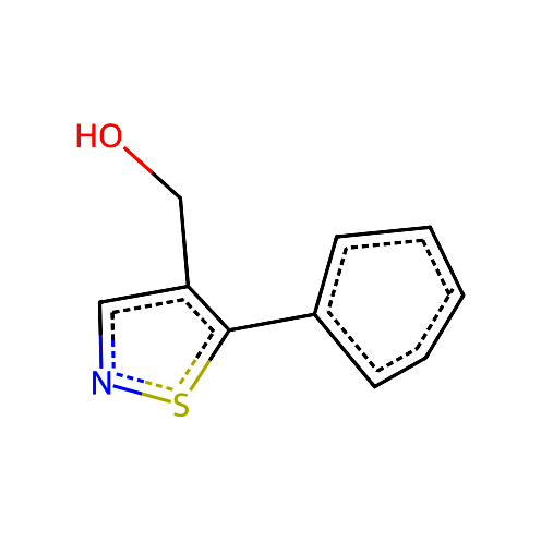 OCc1cnsc1-c1ccccc1